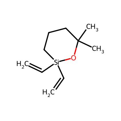 C=C[Si]1(C=C)CCCC(C)(C)O1